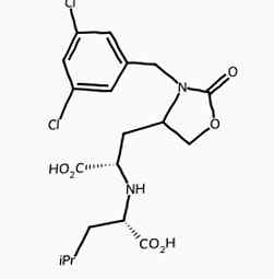 CC(C)C[C@H](N[C@@H](CC1COC(=O)N1Cc1cc(Cl)cc(Cl)c1)C(=O)O)C(=O)O